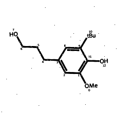 COc1cc(CCCO)cc(C(C)(C)C)c1O